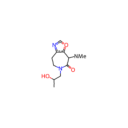 CNC1C(=O)N(CC(C)O)CCc2ncoc21